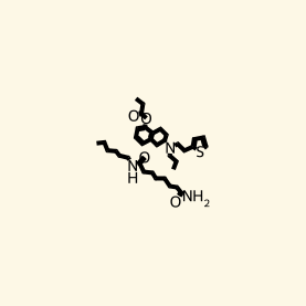 CCCCCCNC(=O)CCCCCCC(N)=O.CCCN(CCc1cccs1)[C@@H]1CCc2c(cccc2OC(=O)CC)C1